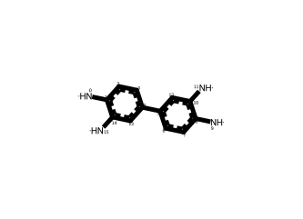 [NH]c1ccc(-c2ccc([NH])c([NH])c2)cc1[NH]